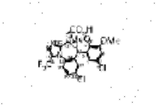 COc1cc(Cl)cc([C@@H]2O[C@@H](CC(=O)O)c3nnc(C(F)(F)F)n3-c3ccc(Cl)cc32)c1OC